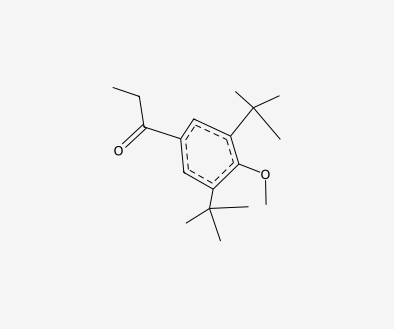 CCC(=O)c1cc(C(C)(C)C)c(OC)c(C(C)(C)C)c1